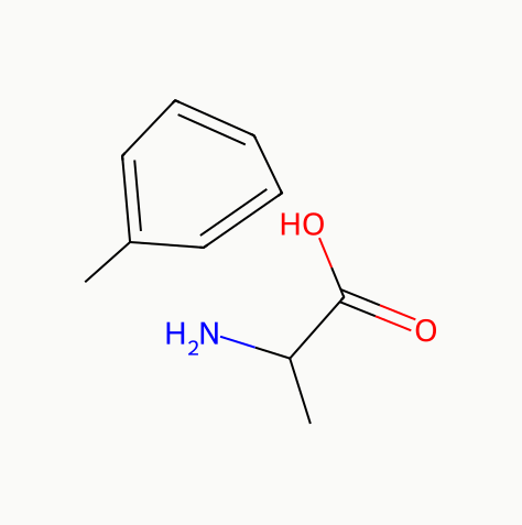 CC(N)C(=O)O.Cc1ccccc1